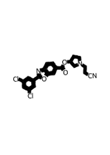 N#CCCN1CCC(OC(=O)c2ccc3nc(-c4cc(Cl)cc(Cl)c4)oc3c2)C1